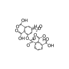 O.O.O=C(O)c1cccc(OS(=O)(=O)c2cccc(C(=O)O)c2C(=O)O)c1C(=O)O